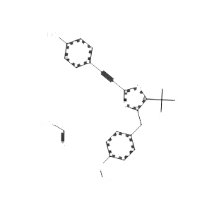 COc1ccc(Cc2sc(C#Cc3ccc(O)cc3)nc2C(F)(F)F)cc1.NC=O